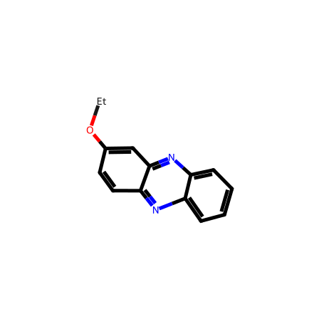 CCOc1ccc2nc3ccccc3nc2c1